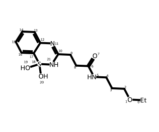 CCOCCCNC(=O)CCC1=Nc2ccccc2S(O)(O)N1